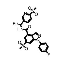 CC[C@H](NC(=O)c1cc(S(C)(=O)=O)cc2c1cnn2-c1ccc(F)cc1)c1ccc(S(C)(=O)=O)nc1